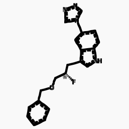 F[C@H](COCc1ccccc1)Cc1c[nH]c2ccc(-n3cnnc3)cc12